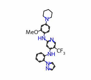 COc1cc(N2CCCCC2)ccc1Nc1cc(Nc2ccccc2-n2cccn2)c(C(F)(F)F)cn1